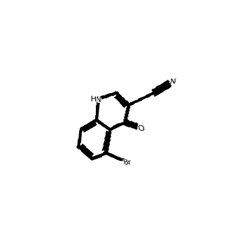 N#Cc1c[nH]c2cccc(Br)c2c1=O